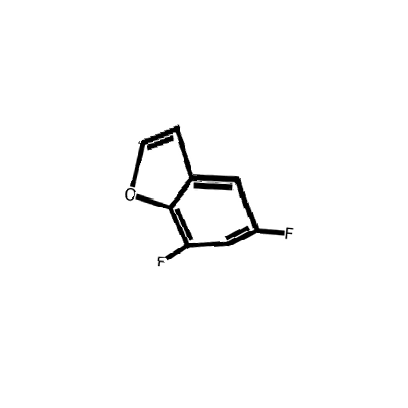 Fc1cc(F)c2o[c]cc2c1